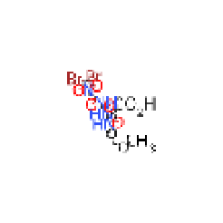 Cc1cccc(Cc2ccc(NC(=O)[C@H](CCC(=O)O)NC(=O)CNC(=O)CCN3C(=O)C(Br)=C(Br)C3=O)cc2)c1